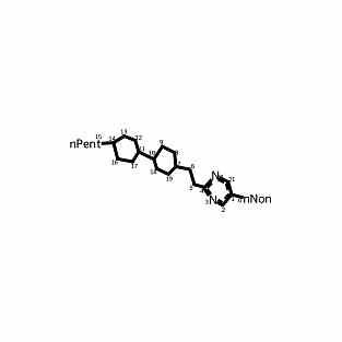 CCCCCCCCCc1cnc(CCC2CCC(C3CCC(CCCCC)CC3)CC2)nc1